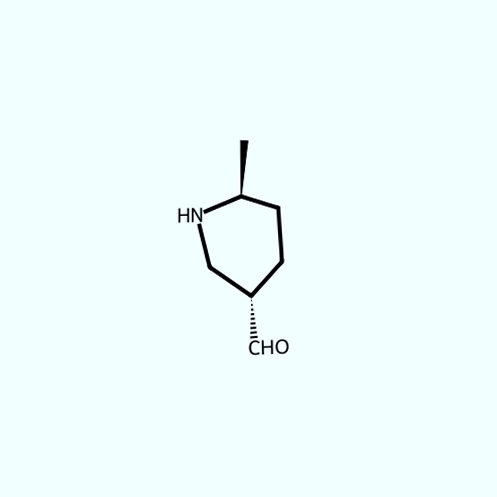 C[C@H]1CC[C@H](C=O)CN1